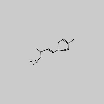 Cc1ccc(/C=C/C(C)CN)cc1